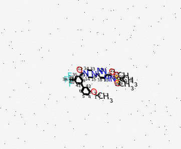 CCOc1cccc(-c2cc(C(=O)N3CCN(c4ccc(C(=O)NS(=O)(=O)C(C)(C)C)nn4)CC3)cc(C(F)(F)F)c2)c1